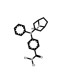 CCCCCCN1C2CCC1CC(N(c1ccccc1)c1ccc(C(=O)N(CC)CC)cc1)C2